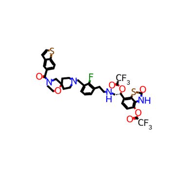 O=C(c1ccc2sccc2c1)N1CCOC2(CCN(Cc3cccc(CCNC[C@H](OC(=O)C(F)(F)F)c4ccc(OC(=O)C(F)(F)F)c5[nH]c(=O)sc45)c3F)CC2)C1